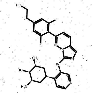 C[C@H]1C[C@@H](c2ccncc2Nc2ncc3ccc(-c4c(F)cc(CCO)cc4F)nn23)C[C@@H](N)[C@H]1O